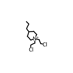 CCCC1CC[N+](CCCl)(CCCl)CC1